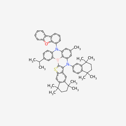 Cc1cc2c3c(c1)N(c1cccc4c1oc1ccccc14)c1ccc(C(C)C)cc1B3c1sc3cc4c(cc3c1N2c1ccc2c(c1)C(C)(C)CCC2(C)C)C(C)(C)CCC4(C)C